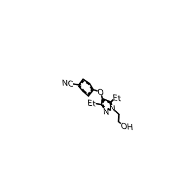 CCc1nn(CCO)c(CC)c1Oc1ccc(C#N)cc1